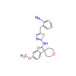 COc1ccc(C2(C(=O)Nc3ncc(Cc4ccccc4C#N)s3)CCOCC2)cc1